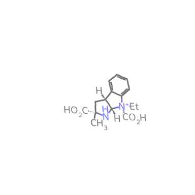 CC[N+]1(C(=O)O)c2ccccc2[C@H]2C[C@@](C)(C(=O)O)N[C@H]21